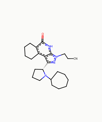 N#CCCn1nc([C@H]2CCCN2C2CCCCCC2)c2c3c(c(=O)[nH]c21)CCCC3